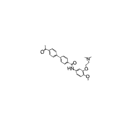 COc1ccc(NC(=O)c2ccc(-c3ccc(C(C)=O)cc3)cc2)cc1OCCN(C)C